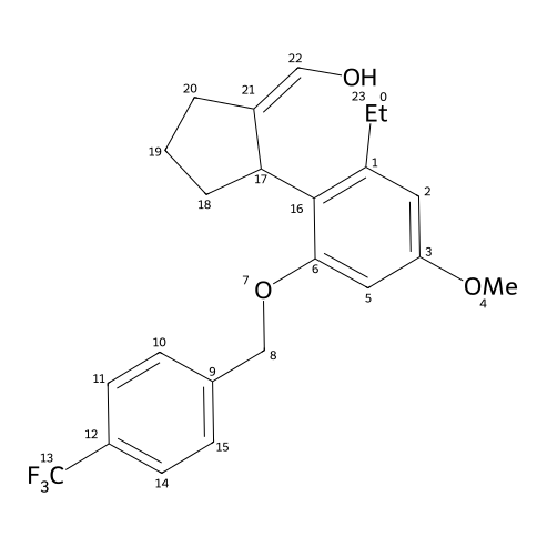 CCc1cc(OC)cc(OCc2ccc(C(F)(F)F)cc2)c1C1CCC/C1=C/O